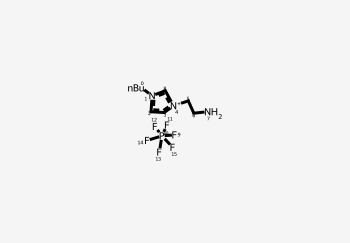 CCCCn1cc[n+](CCN)c1.F[P-](F)(F)(F)(F)F